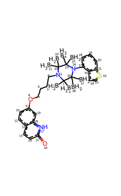 BC1(B)N(CCCCOc2ccc3ccc(=O)[nH]c3c2)C(B)(B)C(B)(B)N(c2cccc3sccc23)C1(B)B